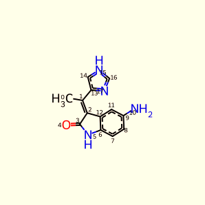 CC(=C1C(=O)Nc2ccc(N)cc21)c1c[nH]cn1